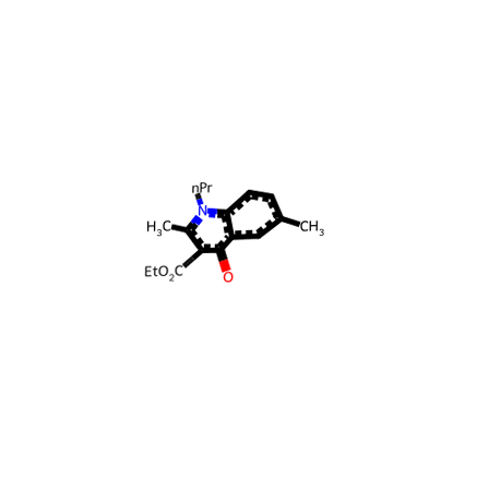 CCCn1c(C)c(C(=O)OCC)c(=O)c2cc(C)ccc21